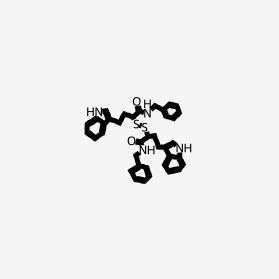 O=C(NCc1ccccc1)C(CCc1c[nH]c2ccccc12)SSC(CCc1c[nH]c2ccccc12)C(=O)NCc1ccccc1